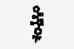 O=C(NC1CCCC1)c1onc(-c2ccc(C(F)(F)F)cc2)c1Br